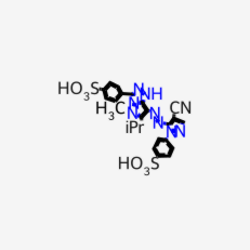 Cc1cc(S(=O)(=O)O)ccc1-c1n[nH]c2c(N=Nc3c(C#N)cnn3-c3ccc(S(=O)(=O)O)cc3)c(C(C)C)nn12